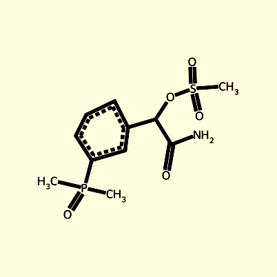 CP(C)(=O)c1cccc(C(OS(C)(=O)=O)C(N)=O)c1